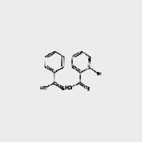 OC(=S)c1ccccc1.OC(=S)c1ccccc1Br